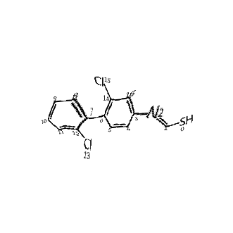 SC=Nc1ccc(-c2ccccc2Cl)c(Cl)c1